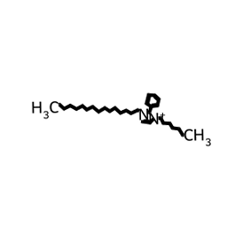 CCCCCCCCCCCCCCCCn1cc[n+](CCCCCCC)c1-c1ccccc1